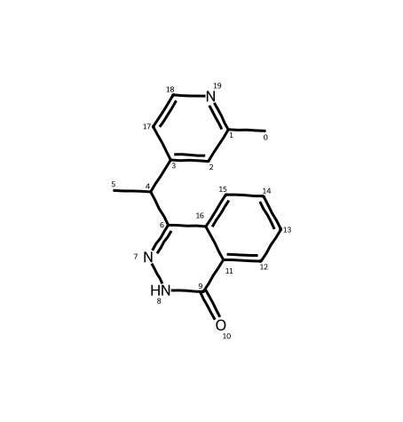 Cc1cc(C(C)c2n[nH]c(=O)c3ccccc23)ccn1